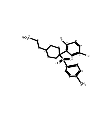 Cc1ccc(S(=O)(=O)C2(c3cc(F)ccc3F)CCC(CCC(=O)O)CC2)cc1